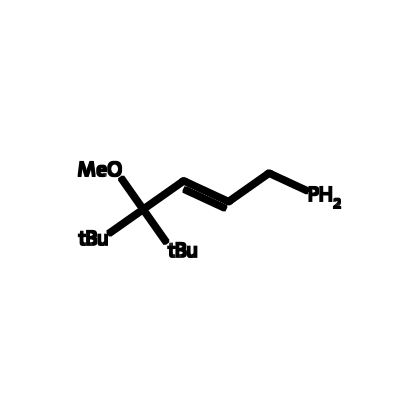 COC(C=CCP)(C(C)(C)C)C(C)(C)C